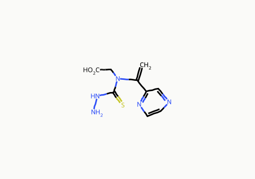 C=C(c1cnccn1)N(CC(=O)O)C(=S)NN